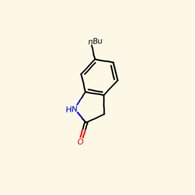 CCCCc1ccc2c(c1)NC(=O)C2